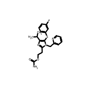 CC(C)c1nc(CCOC(N)=O)n(Cc2ccccn2)c1Sc1cccc(F)c1